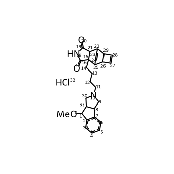 COC1c2ccccc2C2CN(CCCCC34C(=O)NC(=O)C3C3C=CC4C4C=CC43)CC21.Cl